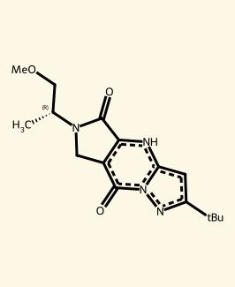 COC[C@@H](C)N1Cc2c([nH]c3cc(C(C)(C)C)nn3c2=O)C1=O